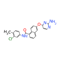 Cc1ccc(NC(=O)c2cccc3cc(Oc4ccnc(N)n4)ccc23)cc1Cl